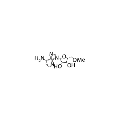 COC[C@H]1O[C@@H](n2cnc3c(N)ccnc32)[C@@H](O)[C@@H]1O